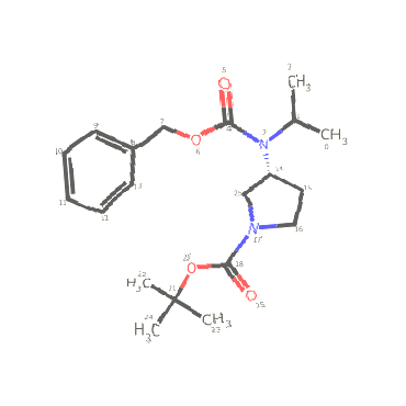 CC(C)N(C(=O)OCc1ccccc1)[C@@H]1CCN(C(=O)OC(C)(C)C)C1